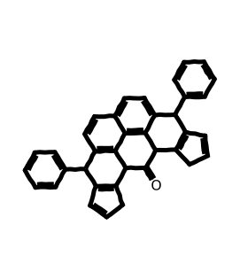 O=C1C2C3=C(C=CC3)C(c3ccccc3)c3ccc4ccc5c(c4c32)C1C1=C(C=CC1)C5c1ccccc1